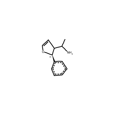 CC(N)C1C=CO[C@@H]1c1ccccc1